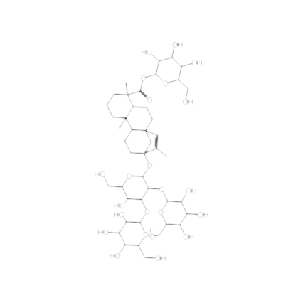 CC1=CC23CCC4C(C)(C(=O)OC5OC(CO)C(O)C(O)C5O)CCCC4(C)C2CCC1(OC1OC(CO)C(O)C(OC2OC(CO)C(O)C(O)C2O)C1OC1OC(CO)C(O)C(O)C1O)C3